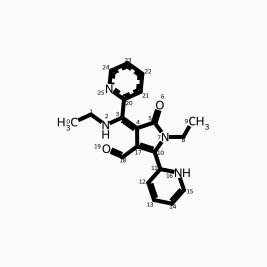 CCN/C(=C1/C(=O)N(CC)C(C2C=CC=CN2)=C1C=O)c1ccccn1